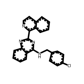 Clc1ccc(CNc2nc(-c3nccc4ccccc34)nc3ccccc23)cc1